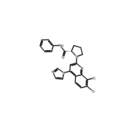 O=C(Nc1ccccc1)[C@@H]1CCCN1c1cc(-n2ccnc2)c2ccc(Cl)c(Cl)c2n1